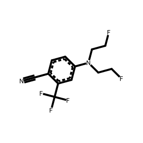 N#Cc1ccc(N(CCF)CCF)cc1C(F)(F)F